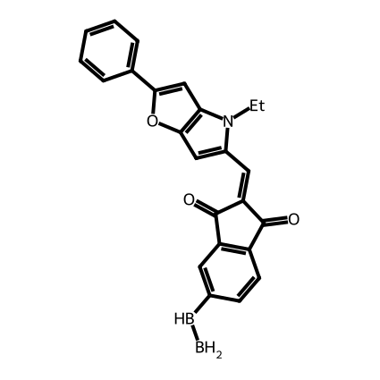 BBc1ccc2c(c1)C(=O)/C(=C\c1cc3oc(-c4ccccc4)cc3n1CC)C2=O